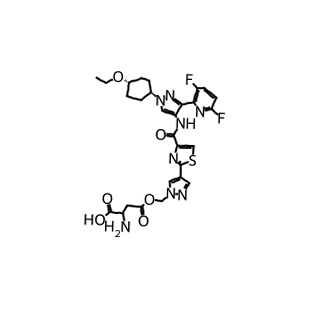 CCO[C@H]1CC[C@H](n2cc(NC(=O)c3csc(-c4cnn(COC(=O)CC(N)C(=O)O)c4)n3)c(-c3nc(F)ccc3F)n2)CC1